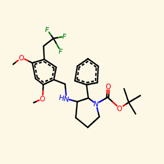 COc1cc(OC)c(CC(F)(F)F)cc1CNC1CCCN(C(=O)OC(C)(C)C)C1c1ccccc1